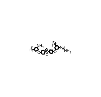 NCCNc1cc(Oc2ccc(S(=O)(=O)c3ccc(Oc4cc(N)cc(C(F)(F)F)c4)cc3)cc2)cc(C(F)(F)F)c1